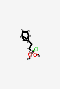 CO[Si](Cl)(CCC1CC2C=CC1C2)OC